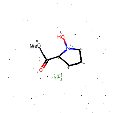 COC(=O)C1CCCN1O.Cl